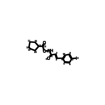 O=C(C=Cc1ccc(I)cc1)NOC(=O)C1CCCCC1